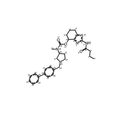 CCCC(=O)Nc1nc2c(s1)CCCC2OC(=O)N(C)C1CCN(Cc2ccc(-c3ccccc3)cc2)C1